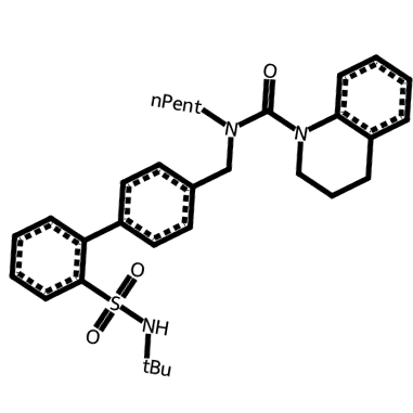 CCCCCN(Cc1ccc(-c2ccccc2S(=O)(=O)NC(C)(C)C)cc1)C(=O)N1CCCc2ccccc21